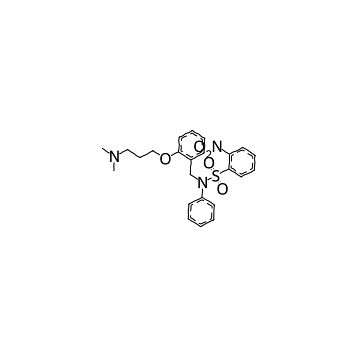 CN(C)CCCOc1ccccc1CN(c1ccccc1)S(=O)(=O)c1ccccc1[N+](=O)[O-]